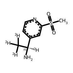 [2H]C([2H])([2H])[C@]([2H])(N)c1ccnc(S(C)(=O)=O)c1